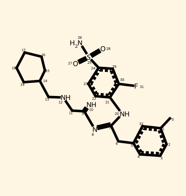 Cc1cccc(C/C(=N/C(=N)CNCC2CCCCC2)Nc2ccc(S(N)(=O)=O)cc2F)c1